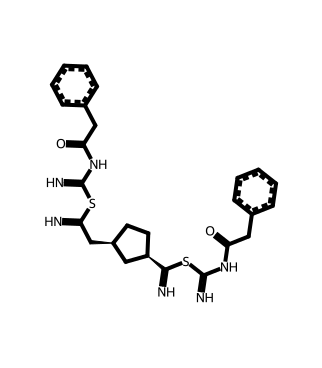 N=C(C[C@H]1CC[C@@H](C(=N)SC(=N)NC(=O)Cc2ccccc2)C1)SC(=N)NC(=O)Cc1ccccc1